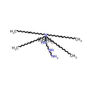 CCCCCCCCC=CCCCCCCCCN(CCCCCCCCC=CCCCCCCCC)C(CCCCCCCCC=CCCCCCCCC)(CCCCCCCCC=CCCCCCCCC)C(C)(C)C(C)(C)NCCCCNCCCN